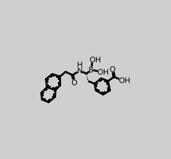 O=C(Cc1ccc2ccccc2c1)N[C@@H](Cc1cccc(C(=O)O)c1)B(O)O